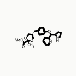 COC(=O)[C@]1(C)OC[C@H](Cc2ccc(OC(c3ccccn3)C3CCCN3)cc2)CO1